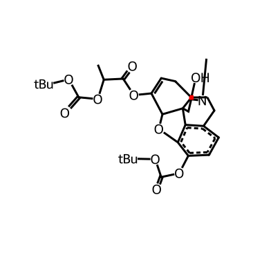 CC(OC(=O)OC(C)(C)C)C(=O)OC1=CCC2(O)C3Cc4ccc(OC(=O)OC(C)(C)C)c5c4C2(CCN3C)C1O5